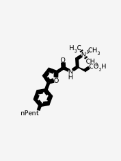 CCCCCc1ccc(-c2ccc(C(=O)N[C@H](CC(=O)O)C[N+](C)(C)C)o2)cc1